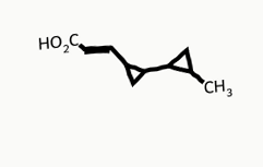 CC1CC1C1CC1/C=C/C(=O)O